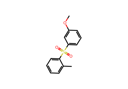 COc1cccc(S(=O)(=O)c2ccccc2C)c1